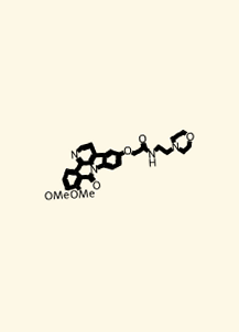 COc1ccc2c(c1OC)c(=O)n1c3ccc(OCC(=O)NCCN4CCOCC4)cc3c3ccnc2c31